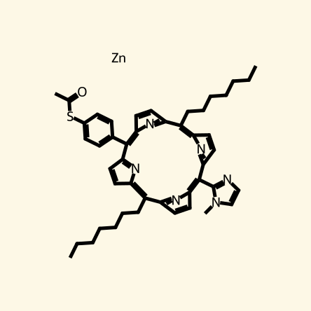 CCCCCCCC1=C2C=CC(=N2)C(c2ccc(SC(C)=O)cc2)=C2C=CC(=N2)C(CCCCCCC)=C2C=CC(=N2)C(c2nccn2C)=C2C=CC1=N2.[Zn]